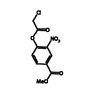 COC(=O)c1ccc(OC(=O)CCl)c([N+](=O)[O-])c1